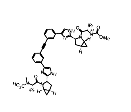 COC(=O)N[C@H](C(=O)N1[C@@H]2C[C@H]2C[C@H]1c1nc(-c2cccc(C#Cc3cccc(-c4c[nH]c([C@@H]5C[C@H]6C[C@H]6N5C(=O)[C@H](C(C)C)N(C)C(=O)O)n4)c3)c2)c[nH]1)C(C)C